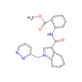 COC(=O)c1ccccc1NC(=O)c1cn(Cc2cccnn2)c2ccccc12